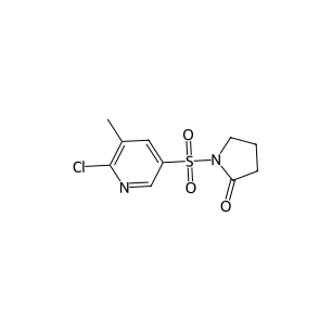 Cc1cc(S(=O)(=O)N2CCCC2=O)cnc1Cl